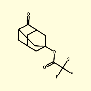 O=C1C2CC3CC1CC(OC(=O)C(F)(F)S)(C3)C2